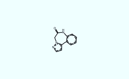 O=C1Cn2nccc2-c2ccccc2N1